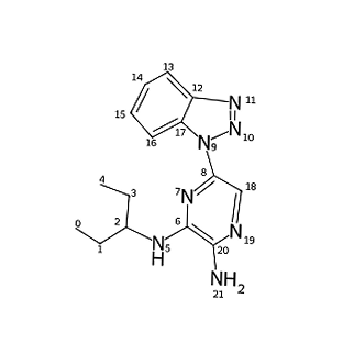 CCC(CC)Nc1nc(-n2nnc3ccccc32)cnc1N